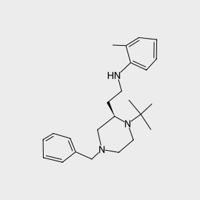 Cc1ccccc1NCC[C@@H]1CN(Cc2ccccc2)CCN1C(C)(C)C